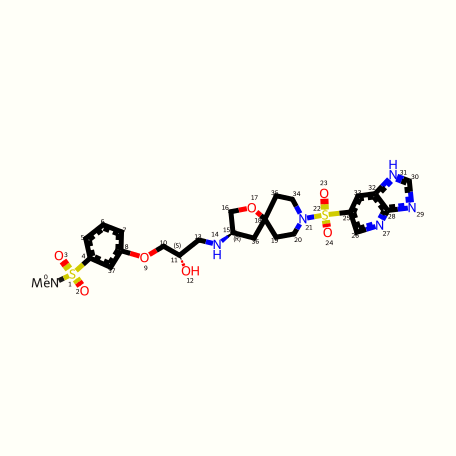 CNS(=O)(=O)c1cccc(OC[C@@H](O)CN[C@H]2COC3(CCN(S(=O)(=O)c4cnc5nc[nH]c5c4)CC3)C2)c1